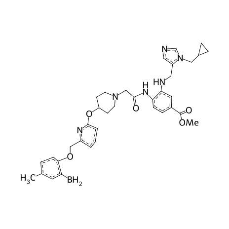 Bc1cc(C)ccc1OCc1cccc(OC2CCN(CC(=O)Nc3ccc(C(=O)OC)cc3NCc3cncn3CC3CC3)CC2)n1